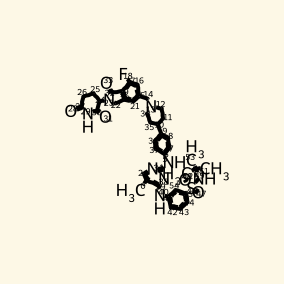 Cc1cnc(Nc2ccc(C3CCN(Cc4cc(F)c5c(c4)CN(C4CCC(=O)NC4=O)C5=O)CC3)cc2)nc1Nc1cccc(S(=O)(=O)NC(C)(C)C)c1